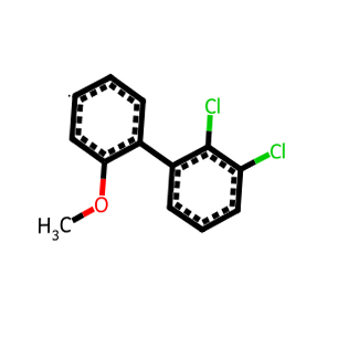 COc1c[c]ccc1-c1cccc(Cl)c1Cl